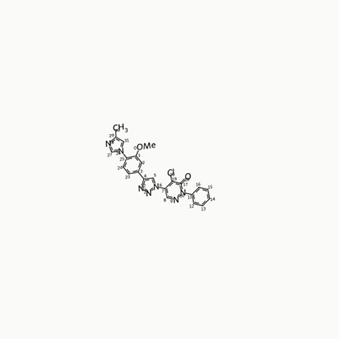 COc1cc(-c2cn(-c3cnn(-c4ccccc4)c(=O)c3Cl)nn2)ccc1-n1cnc(C)c1